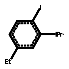 CCc1ccc(I)c([C](C)C)c1